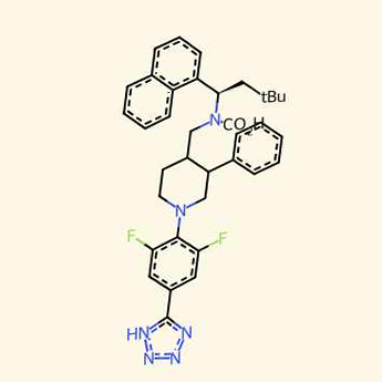 CC(C)(C)C[C@H](c1cccc2ccccc12)N(CC1CCN(c2c(F)cc(-c3nnn[nH]3)cc2F)CC1c1ccccc1)C(=O)O